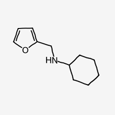 c1coc(CNC2CCCCC2)c1